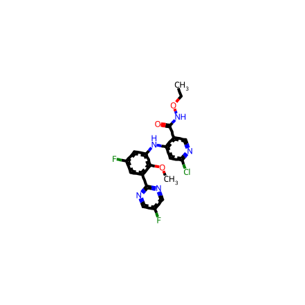 CCONC(=O)c1cnc(Cl)cc1Nc1cc(F)cc(-c2ncc(F)cn2)c1OC